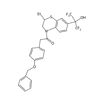 CCC1CN(C(=O)Cc2ccc(OCc3ccccc3)cc2)c2ccc(C(O)(C(F)(F)F)C(F)(F)F)cc2S1